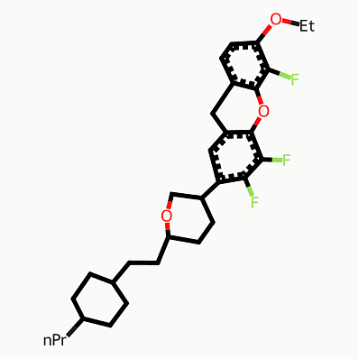 CCCC1CCC(CCC2CCC(c3cc4c(c(F)c3F)Oc3c(ccc(OCC)c3F)C4)CO2)CC1